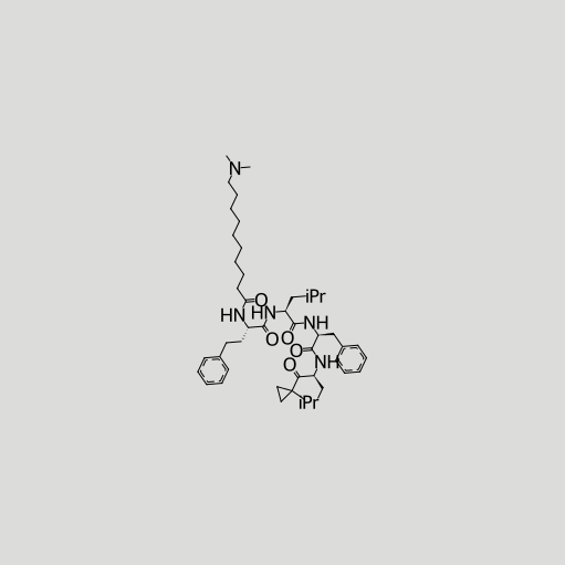 CC(C)C[C@H](NC(=O)[C@H](CCc1ccccc1)NC(=O)CCCCCCCCCN(C)C)C(=O)N[C@@H](Cc1ccccc1)C(=O)N[C@@H](CC(C)C)C(=O)C1(C)CC1